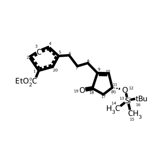 CCOC(=O)c1cccc(CCCC2=C[C@H](O[Si](C)(C)C(C)(C)C)CC2=O)c1